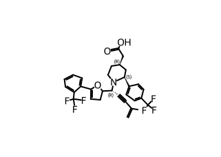 C=C(C)C#C[C@H](C1CC=C(c2ccccc2C(F)(F)F)O1)N1CC[C@@H](CC(=O)O)C[C@H]1c1ccc(C(F)(F)F)cc1